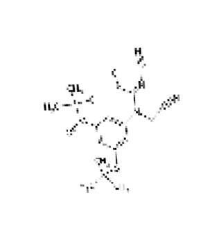 CS/C(=N\C#N)N(CC#N)c1cc(SC(C)(C)C)cc([S+]([O-])C(C)(C)C)c1